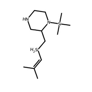 CC(C)=C[SiH2]CC1CNCCN1[Si](C)(C)C